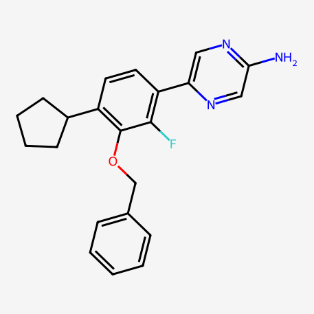 Nc1cnc(-c2ccc(C3CCCC3)c(OCc3ccccc3)c2F)cn1